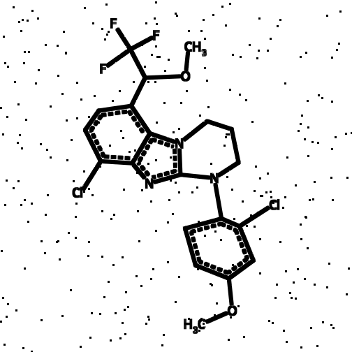 COc1ccc(N2CCCn3c2nc2c(Cl)ccc(C(OC)C(F)(F)F)c23)c(Cl)c1